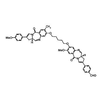 COc1ccc(C2=CN3C(=O)c4cc(C)c(OCCCCCOc5cc6c(cc5OC)C(=O)N5C=C(c7ccc(C=O)cc7)C[C@H]5C=N6)cc4N=C[C@@H]3C2)cc1